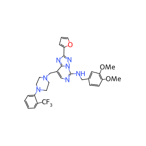 COc1ccc(CNc2ncc(CN3CCN(c4ccccc4C(F)(F)F)CC3)c3nc(-c4ccco4)nn23)cc1OC